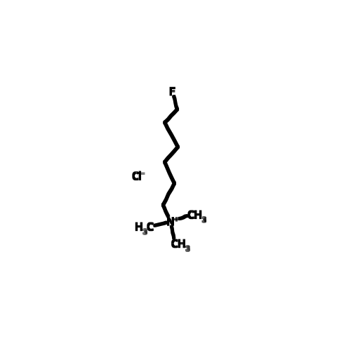 C[N+](C)(C)CCCCCCF.[Cl-]